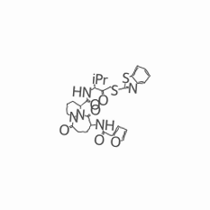 CC(C)[C@H](NC(=O)[C@@H]1CCCN2C(=O)CCC(NC(=O)c3ccco3)C(=O)N12)C(=O)CSc1nc2ccccc2s1